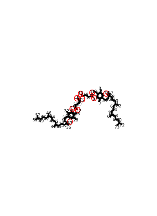 Cc1c(C)c2c(c(C)c1OC(=O)CCC(=O)OC(=O)CCC(=O)Oc1c(C)c(C)c3c(c1C)CCC(C)(CCCC(C)CCCC(C)CCCC(C)C)O3)CCC(C)(CCCC(C)CCCC(C)CCCC(C)C)O2